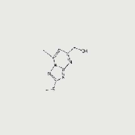 CSc1nc2nc(CO)cc(C)n2n1